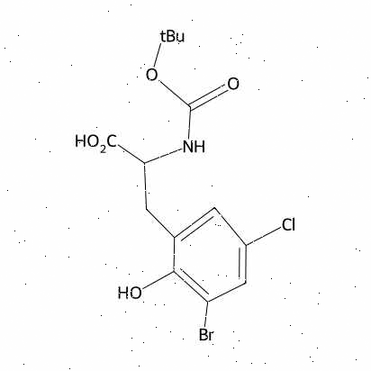 CC(C)(C)OC(=O)NC(Cc1cc(Cl)cc(Br)c1O)C(=O)O